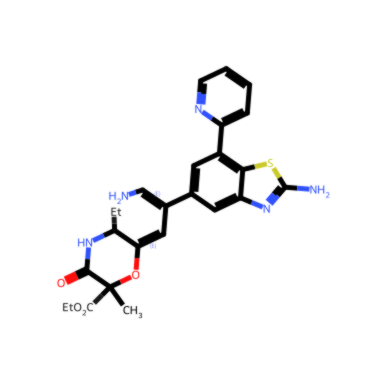 CCOC(=O)C1(C)O/C(=C/C(=C\N)c2cc(-c3ccccn3)c3sc(N)nc3c2)C(CC)NC1=O